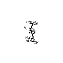 C=C1/C(=C\C=C2CCC[C@@]3(C)C2CC[C@@H]3[C@H](C)CCCC(C)(O)CO)C[C@@H](O)CC1O